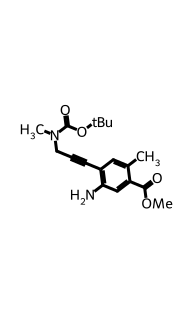 COC(=O)c1cc(N)c(C#CCN(C)C(=O)OC(C)(C)C)cc1C